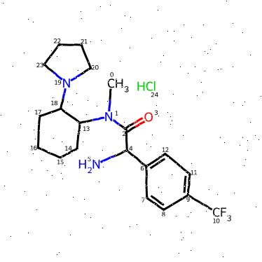 CN(C(=O)C(N)c1ccc(C(F)(F)F)cc1)C1CCCCC1N1CCCC1.Cl